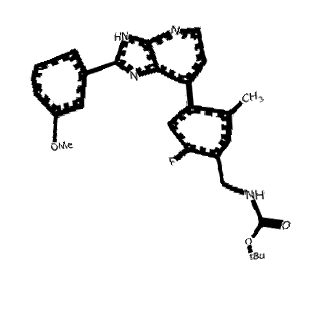 COc1cccc(-c2nc3c(-c4cc(F)c(CNC(=O)OC(C)(C)C)cc4C)ccnc3[nH]2)c1